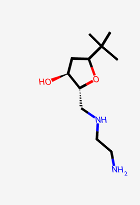 CC(C)(C)C1C[C@H](O)[C@@H](CNCCN)O1